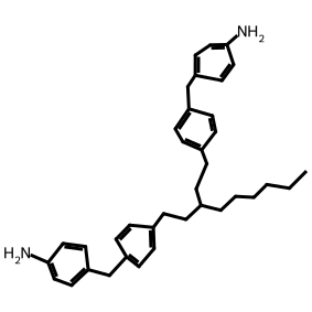 CCCCCCC(CCc1ccc(Cc2ccc(N)cc2)cc1)CCc1ccc(Cc2ccc(N)cc2)cc1